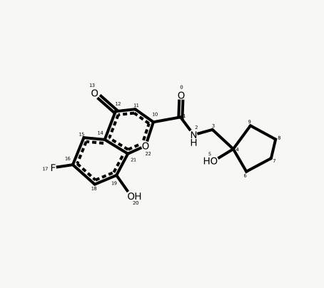 O=C(NCC1(O)CCCC1)c1cc(=O)c2cc(F)cc(O)c2o1